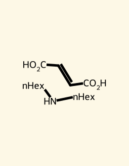 CCCCCCNCCCCCC.O=C(O)C=CC(=O)O